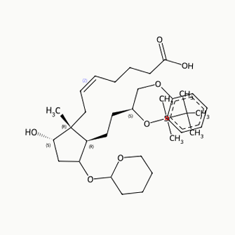 CC(C)(C)[Si](C)(C)O[C@@H](CC[C@H]1C(OC2CCCCO2)C[C@H](O)[C@]1(C)C/C=C\CCCC(=O)O)COc1ccccc1